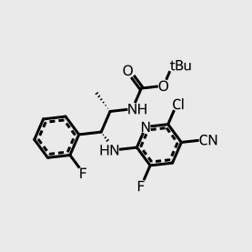 C[C@H](NC(=O)OC(C)(C)C)[C@H](Nc1nc(Cl)c(C#N)cc1F)c1ccccc1F